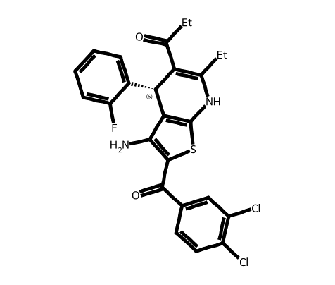 CCC(=O)C1=C(CC)Nc2sc(C(=O)c3ccc(Cl)c(Cl)c3)c(N)c2[C@@H]1c1ccccc1F